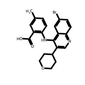 Cc1ccc(Nc2c(C3CCOCC3)cnc3ccc(Br)cc23)c(C(=O)O)c1